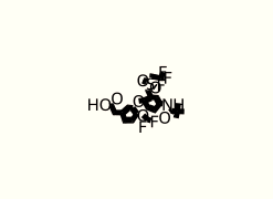 CC(C)(C)C(=O)Nc1ccc(Oc2cc(CC(=O)O)ccc2OC(F)F)c(CS(=O)(=O)CC(F)(F)F)c1